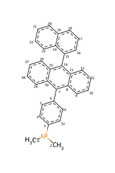 CP(C)c1ccc(-c2c3ccccc3c(-c3cccc4ccccc34)c3ccccc23)cc1